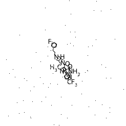 Cc1nn(-c2ccc(C(F)(F)F)nn2)c(C(N)=O)c1C(=O)N1CC2CN(CC[CH]c3cccc(F)c3)C[C@H]2C1